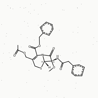 CO[C@@]1(NC(=O)Cc2ccccc2)C(=O)N2C(C(=O)OCc3ccccc3)=C(COC(C)=O)CS[C@H]21